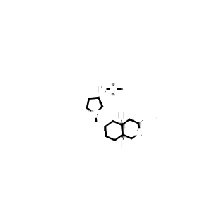 CC(C)S(=O)(=O)N[C@H]1C[C@@H](C(=O)O)N(C[C@H]2CC[C@H]3CN[C@H](C(=O)O)C[C@H]3C2)C1